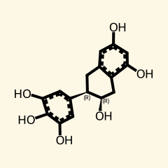 Oc1cc(O)c2c(c1)C[C@H](c1cc(O)c(O)c(O)c1)[C@H](O)C2